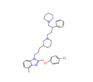 Cc1cccc2c1nc(COc1ccc(Cl)cc1)n2CCCC1CCCN(CCC(CN2CCCCC2)c2ccccc2)C1